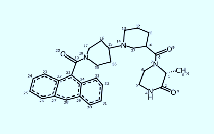 C[C@@H]1C(=O)NCCN1C(=O)C1CCCN(C2CCN(C(=O)c3c4ccccc4cc4ccccc34)CC2)C1